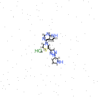 C1=C(c2cnn(C3CCCNC3)n2)SCCN1c1ncnc2[nH]ccc12.Cl